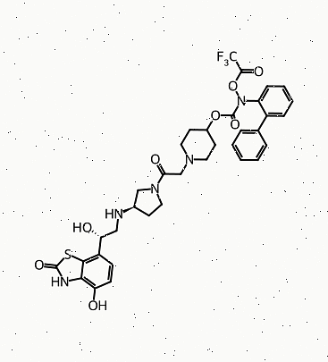 O=C(CN1CCC(OC(=O)N(OC(=O)C(F)(F)F)c2ccccc2-c2ccccc2)CC1)N1CC[C@@H](NC[C@@H](O)c2ccc(O)c3[nH]c(=O)sc23)C1